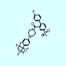 COC(c1ccc(N2CCN(C(=O)c3cc(S(C)(=O)=O)ccc3-c3ccc(F)cc3)CC2)cc1)(C(F)(F)F)C(F)(F)F